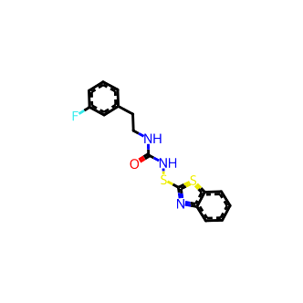 O=C(NCCc1cccc(F)c1)NSc1nc2ccccc2s1